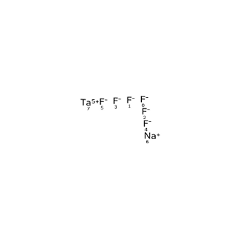 [F-].[F-].[F-].[F-].[F-].[F-].[Na+].[Ta+5]